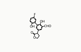 O=Cc1cc(C2CCOC2=O)cc(-c2cc(F)ccc2O)c1O